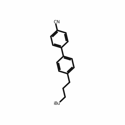 CCC(C)CCCc1ccc(-c2ccc(C#N)cc2)cc1